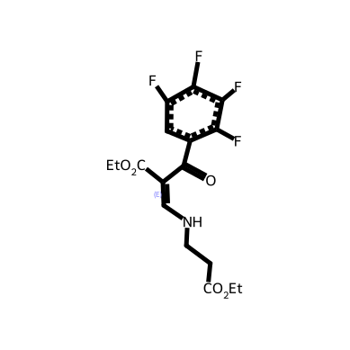 CCOC(=O)CCN/C=C(/C(=O)OCC)C(=O)c1cc(F)c(F)c(F)c1F